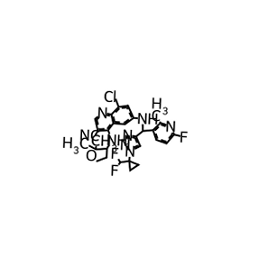 Cc1nc(F)ccc1C(Nc1cc(Cl)c2ncc(C#N)c(NC3CCOC3(C)C)c2c1)c1cn(C2(C(F)F)CC2)nn1